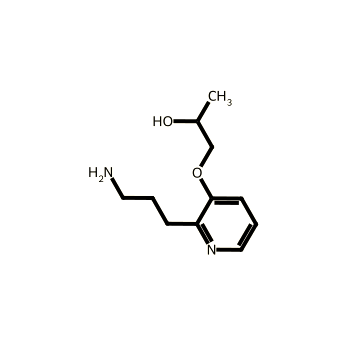 CC(O)COc1cccnc1CCCN